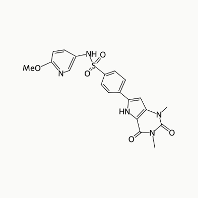 COc1ccc(NS(=O)(=O)c2ccc(-c3cc4c([nH]3)c(=O)n(C)c(=O)n4C)cc2)cn1